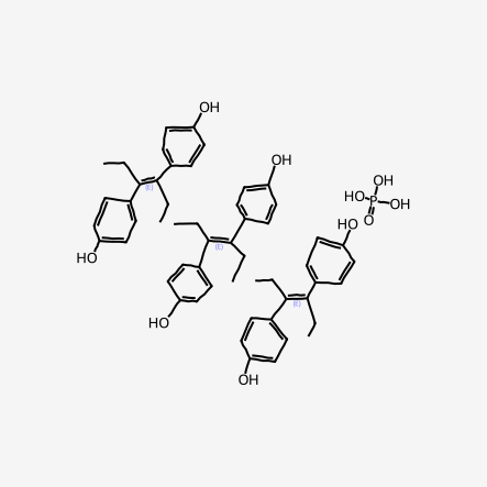 CC/C(=C(/CC)c1ccc(O)cc1)c1ccc(O)cc1.CC/C(=C(/CC)c1ccc(O)cc1)c1ccc(O)cc1.CC/C(=C(/CC)c1ccc(O)cc1)c1ccc(O)cc1.O=P(O)(O)O